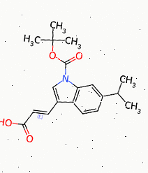 CC(C)c1ccc2c(/C=C/C(=O)O)cn(C(=O)OC(C)(C)C)c2c1